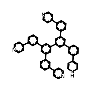 C1=CC(c2cccc(-c3cc(-c4cccc(-c5ccncc5)c4)cc(-c4cc(-c5cccc(-c6ccncc6)c5)cc(-c5cccc(-c6ccncc6)c5)c4)c3)c2)=CCN1